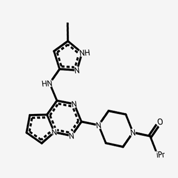 Cc1cc(Nc2nc(N3CCN(C(=O)C(C)C)CC3)nn3cccc23)n[nH]1